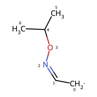 [CH2]/C=N\OC(C)C